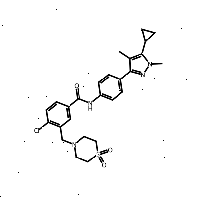 Cc1c(-c2ccc(NC(=O)c3ccc(Cl)c(CN4CCS(=O)(=O)CC4)c3)cc2)nn(C)c1C1CC1